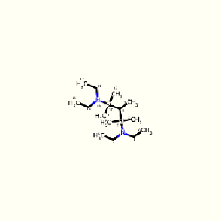 CCN(CC)[Si](C)(C)C(C)[Si](C)(C)N(CC)CC